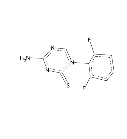 Nc1ncn(-c2c(F)cccc2F)c(=S)n1